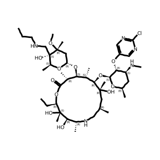 CCCNC[C@]1(O)[C@H](C)O[C@@H](O[C@H]2[C@H](C)[C@@H](O[C@@H]3O[C@H](C)C[C@H](NC)[C@H]3Oc3cnc(Cl)nc3)[C@](C)(O)C[C@@H](C)CN[C@H](C)[C@@H](O)[C@](C)(O)[C@@H](CC)OC(=O)[C@@H]2C)C[C@@]1(C)OC